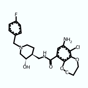 Nc1cc(C(=O)NC[C@@H]2CCN(Cc3ccc(F)cc3)C[C@H]2O)c2c(c1Cl)OCCCO2